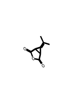 CC(C)=C1C2C(=O)OC(=O)C12